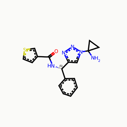 NC1(n2cc([C@@H](NC(=O)c3ccsc3)c3ccccc3)nn2)CC1